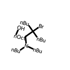 CCCCCCCCO.CCCCN(CCCC)CC(Br)(CCCC)CCCC